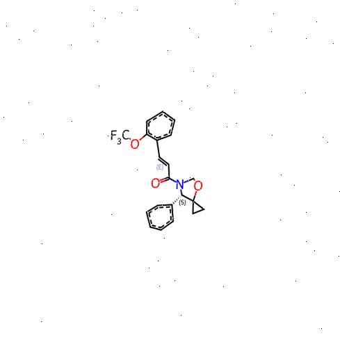 O=C(/C=C/c1ccccc1OC(F)(F)F)N1COC2(CC2)[C@@H]1c1ccccc1